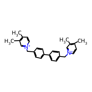 Cc1cc[n+](Cc2ccc(-c3ccc(C[n+]4ccc(C)c(C)c4)cc3)cc2)cc1C